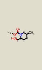 CC1CCC(CO)N(C(=O)OC(C)(C)C)C1